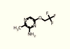 Cc1ncc(OCC(F)(F)F)nc1N